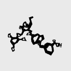 CCCc1onc(COc2c(Cl)cc(Cl)cc2Cl)c1COc1ccc2c(ccn2Cc2cccc(C(=O)O)c2)c1